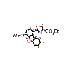 CCOC(=O)c1coc(-c2ccc(OC)c3oc4ccccc4c23)n1